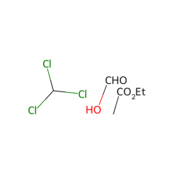 CCOC(C)=O.ClC(Cl)Cl.O=CO